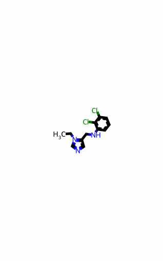 CCn1cncc1CNc1cccc(Cl)c1Cl